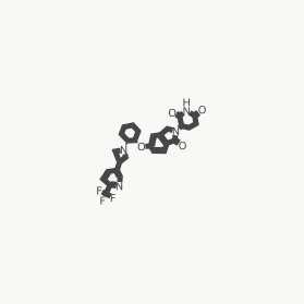 O=C1CCC(N2Cc3cc(O[C@H]4CCCC[C@H]4N4CC(c5ccc(C(F)(F)F)nc5)C4)ccc3C2=O)C(=O)N1